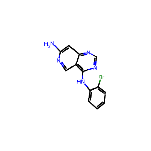 Nc1cc2ncnc(Nc3ccccc3Br)c2cn1